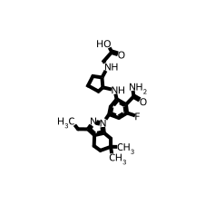 CCc1nn(-c2cc(F)c(C(N)=O)c(NC3CCCC3NCC(=O)O)c2)c2c1CCC(C)(C)C2